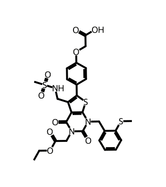 CCOC(=O)Cn1c(=O)c2c(CNS(C)(=O)=O)c(-c3ccc(OCC(=O)O)cc3)sc2n(Cc2ccccc2SC)c1=O